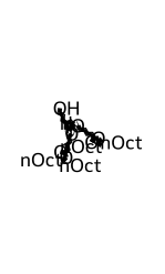 CCCCCCCCC(CCCCCCCC)OC(=O)CCCCO[C@H]1CN(CCCO)C[C@H]1OCCCCC(=O)OC(CCCCCCCC)CCCCCCCC